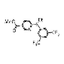 CCN(c1cc(C(F)(F)F)cc(C(F)(F)F)c1)c1ccc(C(=O)OC)cn1